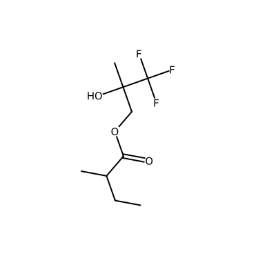 CCC(C)C(=O)OCC(C)(O)C(F)(F)F